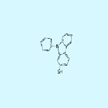 Sc1ccc2c3ccccc3n(-c3ccccc3)c2c1